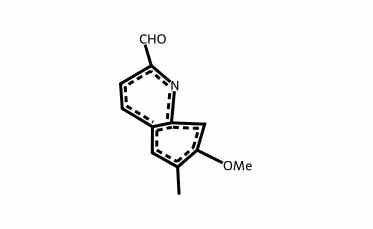 COc1cc2nc(C=O)ccc2cc1C